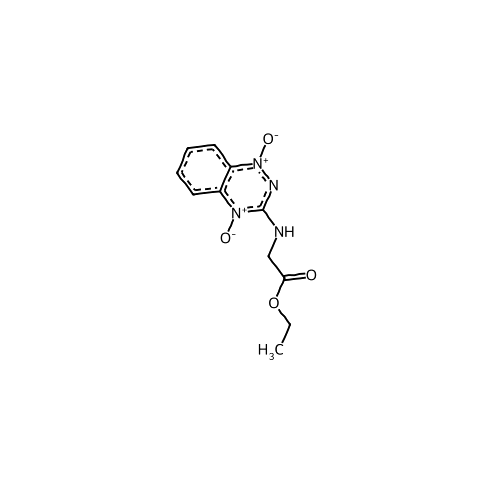 CCOC(=O)CNc1n[n+]([O-])c2ccccc2[n+]1[O-]